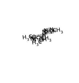 COc1cc(-c2nnc(C)o2)ccc1C(C)CNc1cc(-c2ccc(C)nc2)ncn1